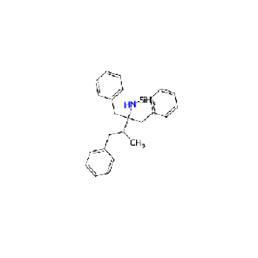 CC(Cc1ccccc1)C(Cc1ccccc1)(Cc1ccccc1)N[SiH3]